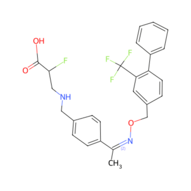 C/C(=N/OCc1ccc(-c2ccccc2)c(C(F)(F)F)c1)c1ccc(CNCC(F)C(=O)O)cc1